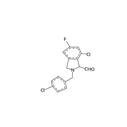 O=CC1c2c(Cl)cc(F)cc2CN1Cc1ccc(Cl)cc1